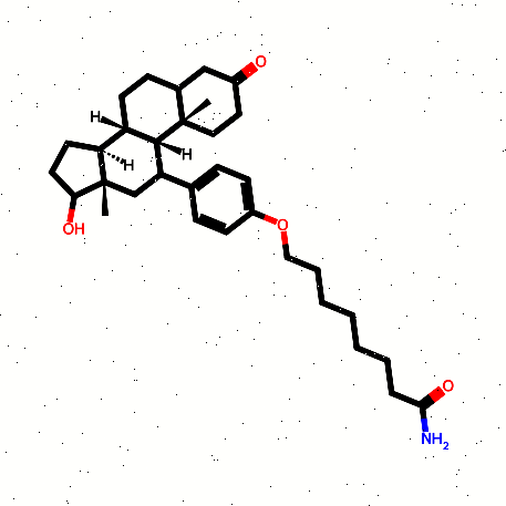 C[C@]12CCC(=O)CC1CC[C@@H]1[C@H]2C(c2ccc(OCCCCCCCC(N)=O)cc2)C[C@]2(C)C(O)CC[C@@H]12